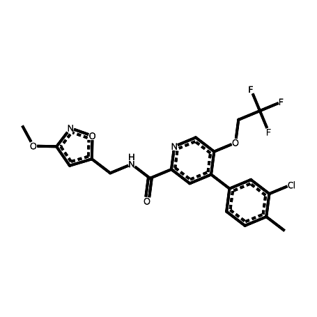 COc1cc(CNC(=O)c2cc(-c3ccc(C)c(Cl)c3)c(OCC(F)(F)F)cn2)on1